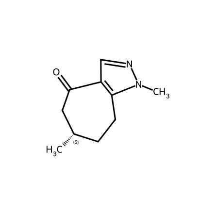 C[C@H]1CCc2c(cnn2C)C(=O)C1